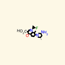 Cc1c(N2C[C@@H](C)C[C@H](N)C2)ccc2c(=O)c(C(=O)O)cn([C@@H]3C[C@@H]3F)c12